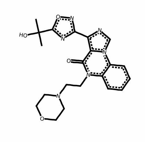 CC(C)(O)c1nc(-c2ncn3c2c(=O)n(CCN2CCOCC2)c2ccccc23)no1